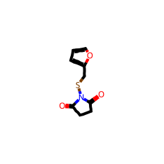 O=C1CCC(=O)N1SCc1ccco1